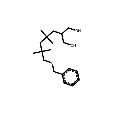 CC(C)(COCc1ccccc1)CC(C)(C)CC(CO)CO